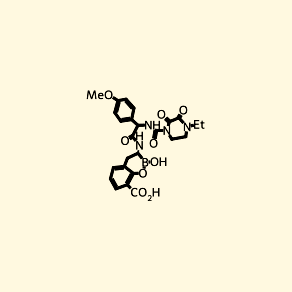 CCN1CCN(C(=O)NC(C(=O)N[C@H]2Cc3cccc(C(=O)O)c3OB2O)c2ccc(OC)cc2)C(=O)C1=O